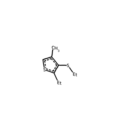 CCSc1c(C)csc1CC